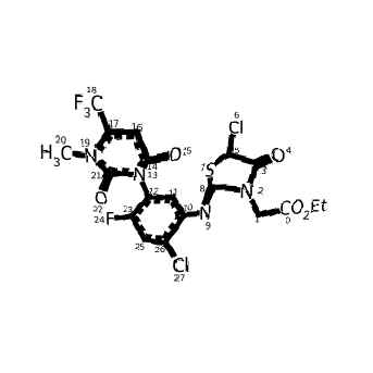 CCOC(=O)CN1C(=O)C(Cl)SC1=Nc1cc(-n2c(=O)cc(C(F)(F)F)n(C)c2=O)c(F)cc1Cl